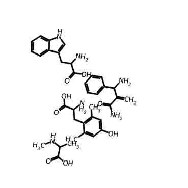 C=C(C(N)=O)C(N)c1ccccc1.CNC(C)C(=O)O.Cc1cc(O)cc(C)c1CC(N)C(=O)O.NC(Cc1c[nH]c2ccccc12)C(=O)O